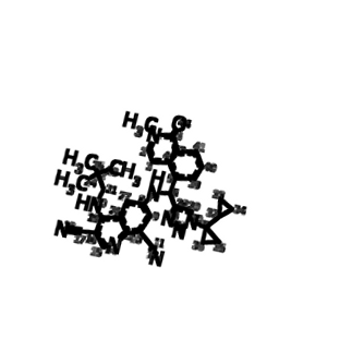 Cn1ccc2c(C(Nc3cc(C#N)c4ncc(C#N)c(NCC(C)(C)C)c4c3)c3cn(C4(C5CC5)CC4)nn3)cccc2c1=O